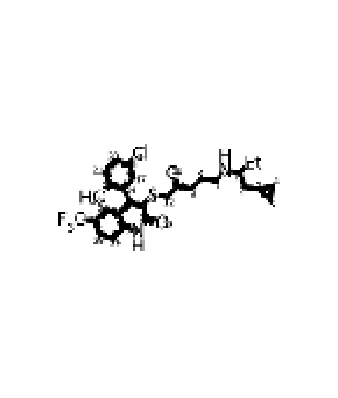 CCC(CC1CC1)NCCCC(=O)CSc1c(-c2cc(Cl)ccc2O)c2cc(C(F)(F)F)ccc2[nH]c1=O